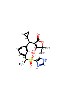 CCCC1(CCC)OC(=O)C(C(c2cccc(C(C)S(=O)(=O)c3c[nH]cn3)c2)C2CC2)=C1O